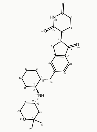 C=C1CCC(N2Cc3cc(C[C@H]4CCCC[C@@H]4N[C@H]4CCOC(C)(C)C4)ccc3C2=O)C(=O)N1